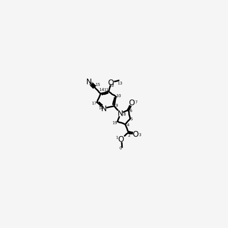 COC(=O)C1CC(=O)N(c2cc(OC)c(C#N)cn2)C1